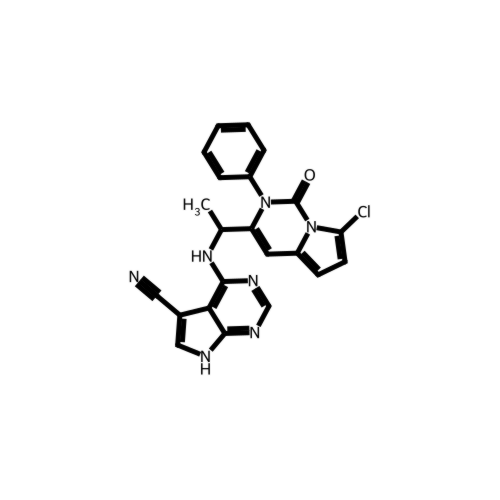 CC(Nc1ncnc2[nH]cc(C#N)c12)c1cc2ccc(Cl)n2c(=O)n1-c1ccccc1